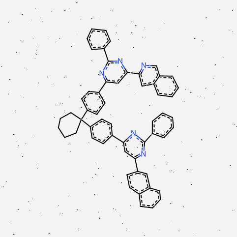 c1ccc(-c2nc(-c3ccc(C4(c5ccc(-c6cc(-c7cc8ccccc8cn7)nc(-c7ccccc7)n6)cc5)CCCCC4)cc3)cc(-c3ccc4ccccc4c3)n2)cc1